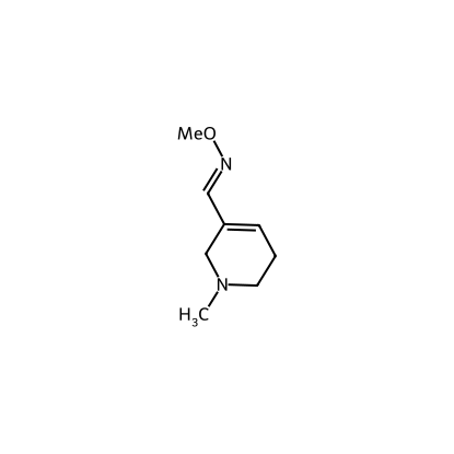 CON=CC1=CCCN(C)C1